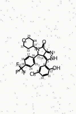 O=C1c2n[nH]c(-c3cc(Cl)ccc3O)c2C(c2ccc(C(F)(F)F)cc2)N1C1CCOCC1